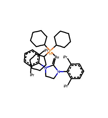 CC(C)c1cccc(C(C)C)c1N1CCN(c2c(C(C)C)cccc2C(C)C)[C]1=[Ru][PH](C1CCCCC1)(C1CCCCC1)C1CCCCC1